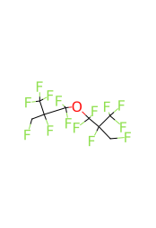 FCC(F)(C(F)(F)F)C(F)(F)OC(F)(F)C(F)(CF)C(F)(F)F